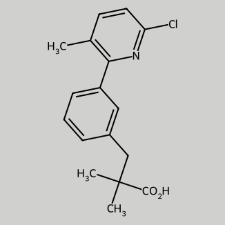 Cc1ccc(Cl)nc1-c1cccc(CC(C)(C)C(=O)O)c1